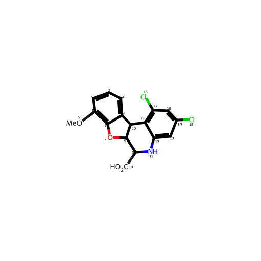 COc1cccc2c1OC1C(C(=O)O)Nc3cc(Cl)cc(Cl)c3C21